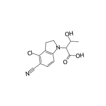 CC(O)C(C(=O)O)N1CCc2c1ccc(C#N)c2Cl